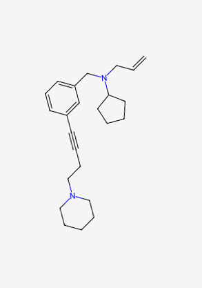 C=CCN(Cc1cccc(C#CCCN2CCCCC2)c1)C1CCCC1